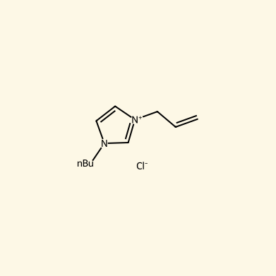 C=CC[n+]1ccn(CCCC)c1.[Cl-]